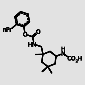 CCCc1ccccc1OC(=O)NCC1(C)CC(NC(=O)O)CC(C)(C)C1